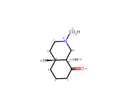 O=C1CCC[C@@H]2CCN(C(=O)O)C[C@@H]12